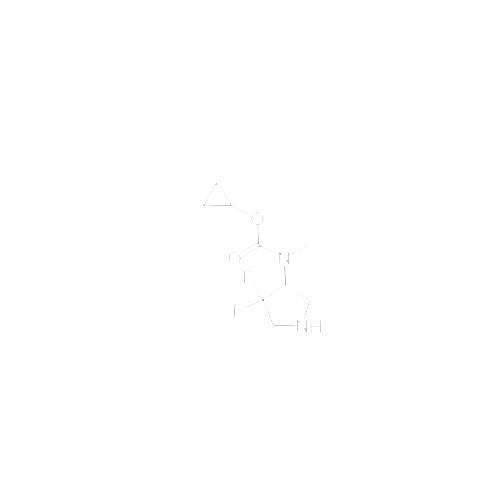 CN(C(=O)OC1CC1)C1CNCC1(F)F